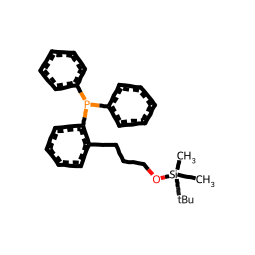 CC(C)(C)[Si](C)(C)OCCCc1ccccc1P(c1ccccc1)c1ccccc1